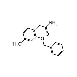 Cc1ccc(CC(N)=O)c(OCc2ccccc2)c1